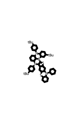 CC(C)(C)c1ccc(N2c3ccc(C(C)(C)C)cc3B3c4sc5cc6c(cc5c4N(c4ccc(C(C)(C)C)cc4)c4cccc2c43)Sc2ccccc2N6c2ccccc2)cc1